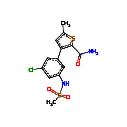 Cc1cc(-c2cc(Cl)cc(NS(C)(=O)=O)c2)c(C(N)=O)s1